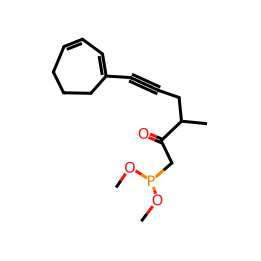 COP(CC(=O)C(C)CC#CC1=CC=CCCC1)OC